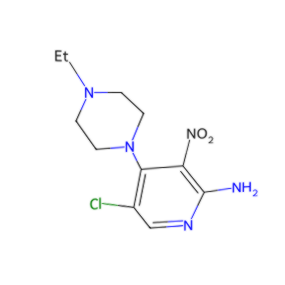 CCN1CCN(c2c(Cl)cnc(N)c2[N+](=O)[O-])CC1